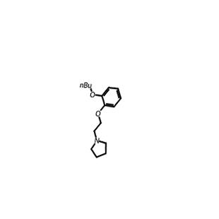 CCCCOc1ccccc1OCCN1CCCC1